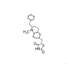 CN1c2ccc(CC3SC(=O)NC3=O)cc2CCC1Cc1ccccc1